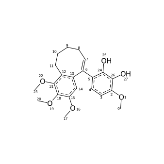 COc1ccc(/C2=C/CCCCc3c2cc(OC)c(OC)c3OC)c(O)c1O